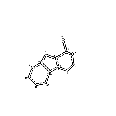 O=c1occn2c1cc1ncccc12